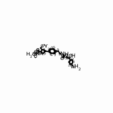 CC(C)Cc1cc(-c2ccc(CCNC(=O)OC[C@H](O)c3ccc(N)cc3)cc2)ccc1C(=O)NS(C)(=O)=O